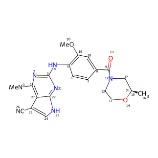 CNc1nc(Nc2ccc(C(=O)N3CCO[C@H](C)C3)cc2OC)nc2[nH]cc(C#N)c12